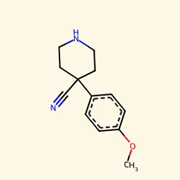 COc1ccc(C2(C#N)CCNCC2)cc1